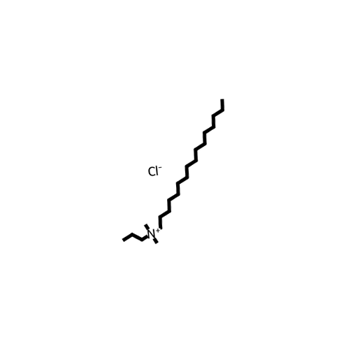 CCCCCCCCCCCCCCCC[N+](C)(C)CCC.[Cl-]